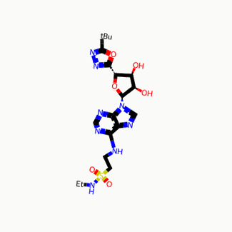 CCNS(=O)(=O)CCNc1ncnc2c1ncn2[C@@H]1O[C@H](c2nnc(C(C)(C)C)o2)[C@@H](O)[C@H]1O